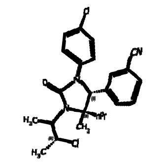 CCC[C@]1(C)[C@@H](c2cccc(C#N)c2)N(c2ccc(Cl)cc2)C(=O)N1C(C)[C@@H](C)Cl